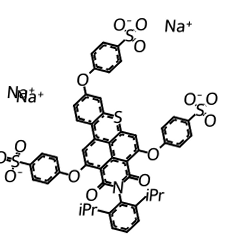 CC(C)c1cccc(C(C)C)c1-n1c(=O)c2c(Oc3ccc(S(=O)(=O)[O-])cc3)cc3sc4cc(Oc5ccc(S(=O)(=O)[O-])cc5)ccc4c4cc(Oc5ccc(S(=O)(=O)[O-])cc5)c(c1=O)c2c34.[Na+].[Na+].[Na+]